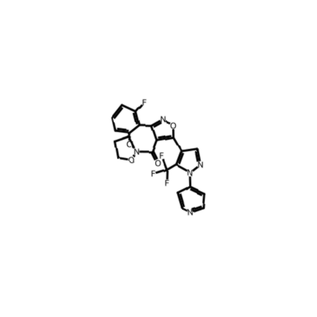 O=C(c1c(-c2c(F)cccc2Cl)noc1-c1cnn(-c2ccncc2)c1C(F)(F)F)N1CCCO1